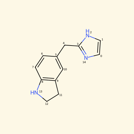 c1c[nH]c(Cc2ccc3c(c2)CCN3)n1